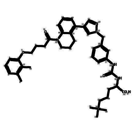 Cc1cccc(OCCCC(=O)N2CCCc3c(-c4cnn(Cc5cccc(NC(=O)NC(CCC[N+](C)(C)C)C(=O)O)c5)c4)cccc32)c1C